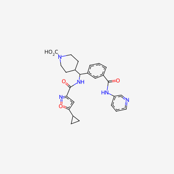 O=C(Nc1cccnc1)c1cccc(C(NC(=O)c2cc(C3CC3)on2)C2CCN(C(=O)O)CC2)c1